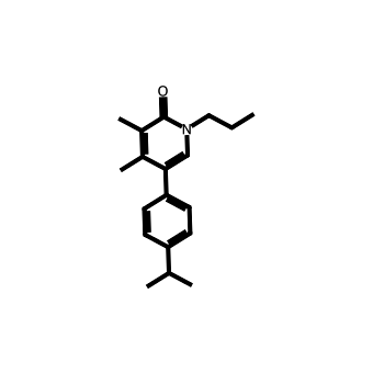 CCCn1cc(-c2ccc(C(C)C)cc2)c(C)c(C)c1=O